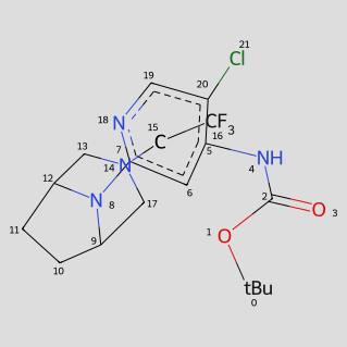 CC(C)(C)OC(=O)Nc1cc(N2C3CCC2CN(CC(F)(F)F)C3)ncc1Cl